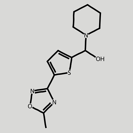 Cc1nc(-c2ccc(C(O)N3CCCCC3)s2)no1